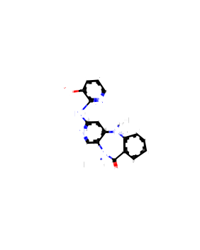 COc1cccnc1Nc1cc2c(cn1)N(C)C(=O)c1ccccc1N2C